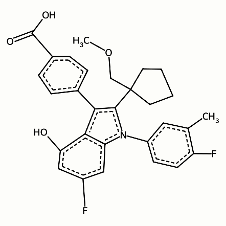 COCC1(c2c(-c3ccc(C(=O)O)cc3)c3c(O)cc(F)cc3n2-c2ccc(F)c(C)c2)CCCC1